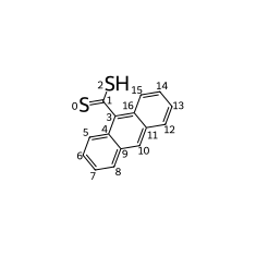 S=C(S)c1c2ccccc2cc2ccccc12